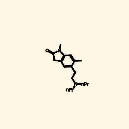 CCCN(CCC)CCc1cc2c(cc1C)N(C)C(=O)C2